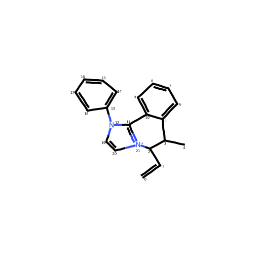 C=CC1C(C)c2ccccc2-c2n(-c3ccccc3)cc[n+]21